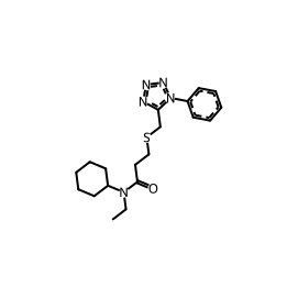 CCN(C(=O)CCSCc1nnnn1-c1ccccc1)C1CCCCC1